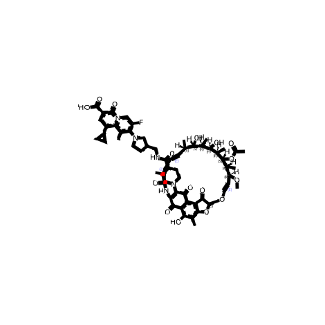 CO[C@H]1/C=C/O[C@@]2(C)Oc3c(C)c(O)c4c(c3C2=O)C(=O)C(N2CCC(C(=O)NCC3CCN(c5c(F)cn6c(=O)c(C(=O)O)cc(C7CC7)c6c5C)C3)CC2)=C(NC(=O)/C(C)=C\C=C\[C@H](C)[C@H](O)[C@@H](C)[C@@H](O)[C@@H](C)[C@H](OC(C)=O)[C@@H]1C)C4=O